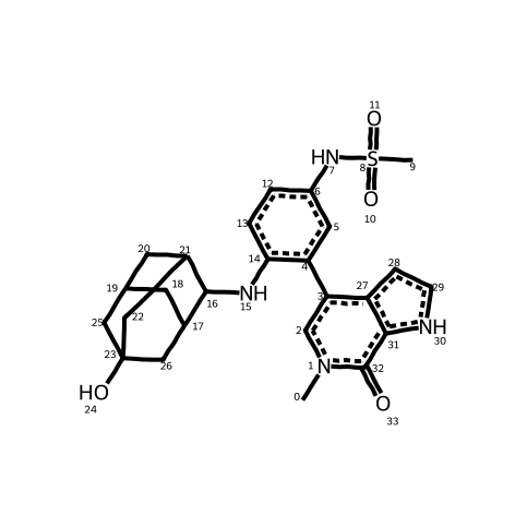 Cn1cc(-c2cc(NS(C)(=O)=O)ccc2NC2C3CC4CC2CC(O)(C4)C3)c2cc[nH]c2c1=O